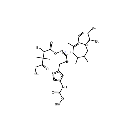 C=CC1=C(C)[C@@H](/C(=N/OC(=O)C(CC)C(C)(C)C(=O)OC(C)(C)C)NCc2nc(NC(=O)OC(C)(C)C)cs2)C(C)C(C)C[C@@H]1C(CC)CC(C)C